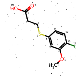 COc1cc(SCCC(=O)O)ccc1Cl